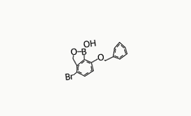 OB1OCc2c(Br)ccc(OCc3ccccc3)c21